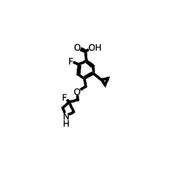 O=C(O)c1cc(C2CC2)c(COCC2(F)CNC2)cc1F